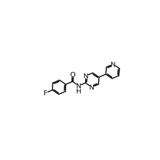 O=C(Nc1ncc(-c2cccnc2)cn1)c1ccc(F)cc1